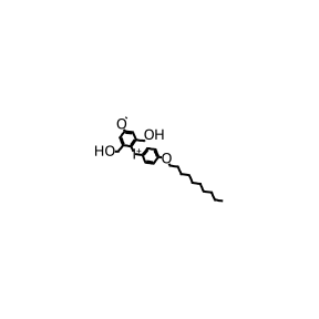 CCCCCCCCCCOc1ccc([I+]c2c(CO)cc(OC)cc2CO)cc1